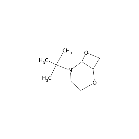 CC(C)(C)N1CCOC2COC21